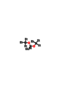 CC[Si](CC)(CC)O[SiH](O[Si](CC)(CC)CC)C(C)(C)C